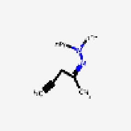 C#CCC(C)=NN(CCC)CCC